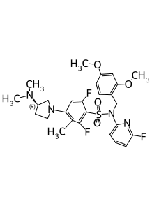 COc1ccc(CN(c2cccc(F)n2)S(=O)(=O)c2c(F)cc(N3CC[C@@H](N(C)C)C3)c(C)c2F)c(OC)c1